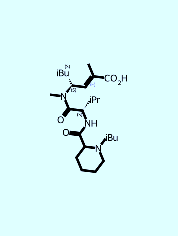 CCC(C)N1CCCCC1C(=O)N[C@H](C(=O)N(C)[C@H](/C=C(\C)C(=O)O)[C@@H](C)CC)C(C)C